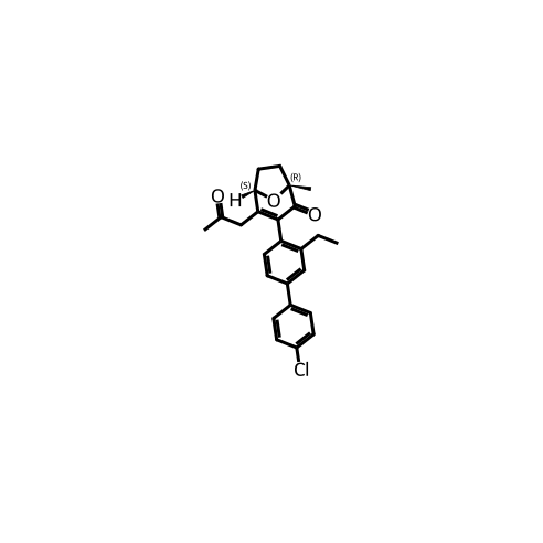 CCc1cc(-c2ccc(Cl)cc2)ccc1C1=C(CC(C)=O)[C@@H]2CC[C@@](C)(O2)C1=O